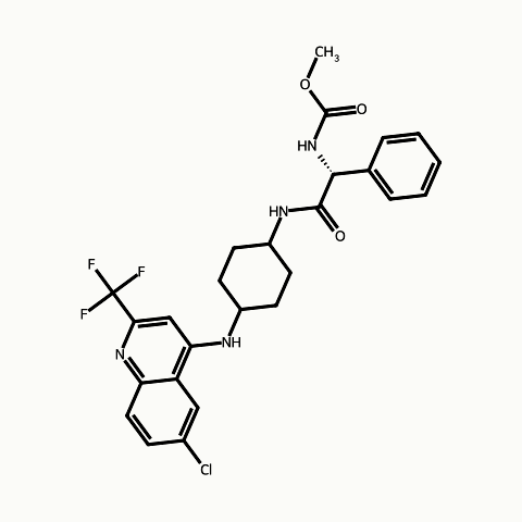 COC(=O)N[C@@H](C(=O)NC1CCC(Nc2cc(C(F)(F)F)nc3ccc(Cl)cc23)CC1)c1ccccc1